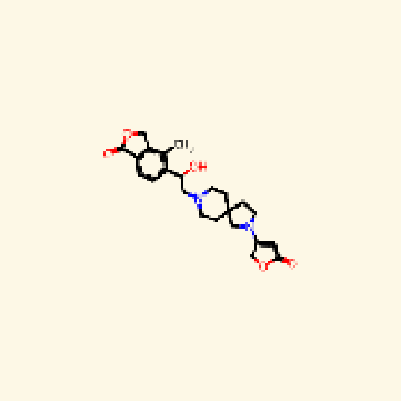 Cc1c([C@@H](O)CN2CCC3(CC2)CCN(C2=CC(=O)OC2)C3)ccc2c1COC2=O